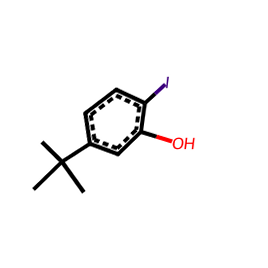 CC(C)(C)c1ccc(I)c(O)c1